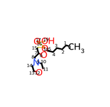 CCCCCCOC(CN1CCOCC1)CS(=O)(=O)O